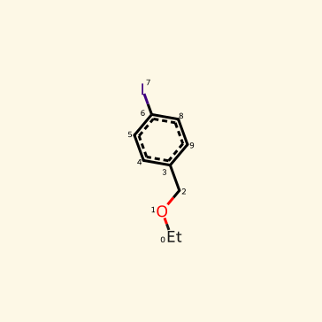 CCOCc1ccc(I)cc1